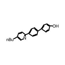 CCCCc1ccc(-c2ccc(-c3ccc(O)cc3)cc2)nc1